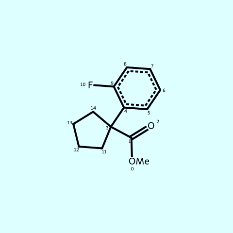 COC(=O)C1(c2ccccc2F)CCCC1